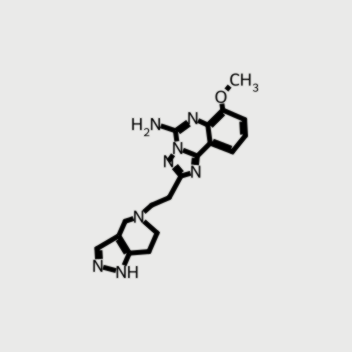 COc1cccc2c1nc(N)n1nc(CCN3CCc4[nH]ncc4C3)nc21